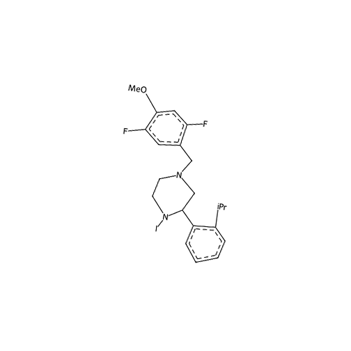 COc1cc(F)c(CN2CCN(I)C(c3ccccc3C(C)C)C2)cc1F